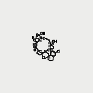 C[C@@H]1C(=O)NS(=O)(=O)c2ccc3c(c2)N(C[C@@H]2CC[C@H]2[C@@H](O)C=CCN1C(=O)O)C[C@@]1(CCCc2cc(Cl)ccc21)CO3